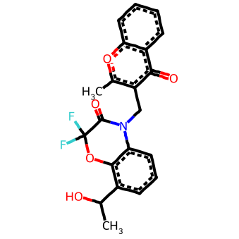 Cc1oc2ccccc2c(=O)c1CN1C(=O)C(F)(F)Oc2c(C(C)O)cccc21